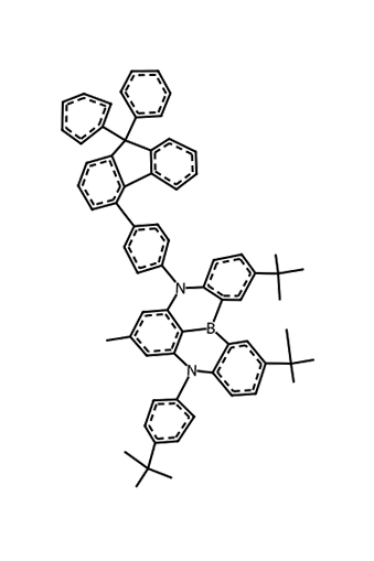 Cc1cc2c3c(c1)N(c1ccc(C(C)(C)C)cc1)c1ccc(C(C)(C)C)cc1B3c1cc(C(C)(C)C)ccc1N2c1ccc(-c2cccc3c2-c2ccccc2C3(c2ccccc2)c2ccccc2)cc1